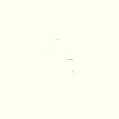 C=C(N)SC(=C)c1nccc2ccccc12